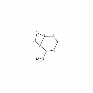 COC1CCCC2CCC21